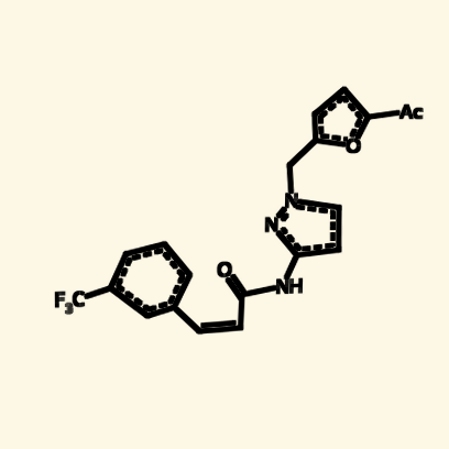 CC(=O)c1ccc(Cn2ccc(NC(=O)/C=C\c3cccc(C(F)(F)F)c3)n2)o1